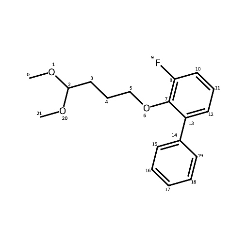 COC(CCCOc1c(F)cccc1-c1ccccc1)OC